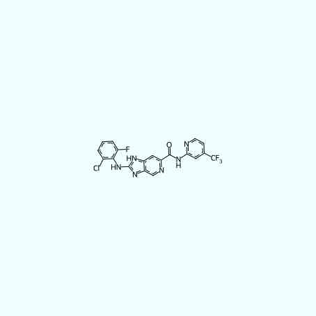 O=C(Nc1cc(C(F)(F)F)ccn1)c1cc2[nH]c(Nc3c(F)cccc3Cl)nc2cn1